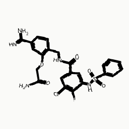 N=C(N)c1ccc(CNC(=O)c2cc(Cl)c(F)c(NS(=O)(=O)c3ccccc3)c2)c(OCC(N)=O)c1